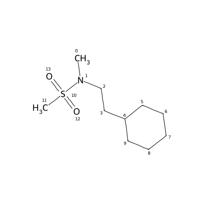 CN(CCC1CCCCC1)S(C)(=O)=O